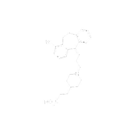 O=C(O)CCC1CCN(CCC=C2c3ccccc3CCc3c(Br)cccc32)CC1